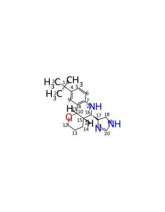 CC(C)(C)c1ccc2c(c1)[C@H]1OCCC[C@H]1[C@H](C1CNC=N1)N2